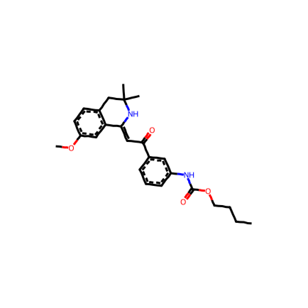 CCCCOC(=O)Nc1cccc(C(=O)/C=C2\NC(C)(C)Cc3ccc(OC)cc32)c1